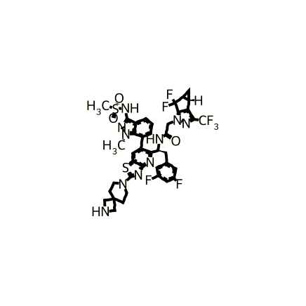 Cn1nc(NS(C)(=O)=O)c2cccc(-c3cc4sc(N5CCC6(CC5)CNC6)nc4nc3[C@H](Cc3cc(F)cc(F)c3)NC(=O)Cn3nc(C(F)(F)F)c4c3C(F)(F)C3C[C@H]43)c21